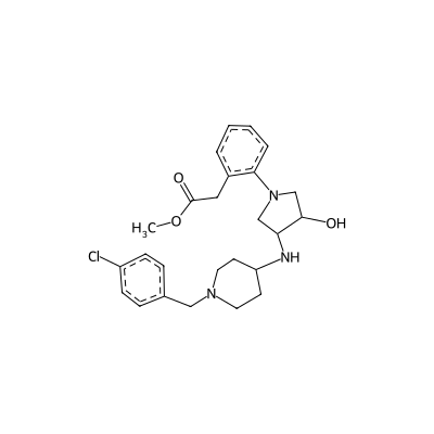 COC(=O)Cc1ccccc1N1CC(O)C(NC2CCN(Cc3ccc(Cl)cc3)CC2)C1